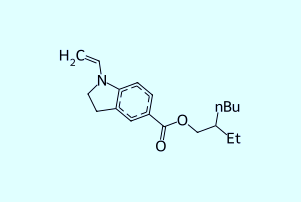 C=CN1CCc2cc(C(=O)OCC(CC)CCCC)ccc21